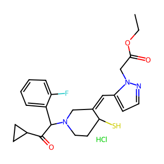 CCOC(=O)Cn1nccc1C=C1CN(C(C(=O)C2CC2)c2ccccc2F)CCC1S.Cl